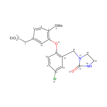 CCOC(=O)Cc1ccc(OC)c(Oc2ccc(Br)cc2CN2CCNC2=O)c1